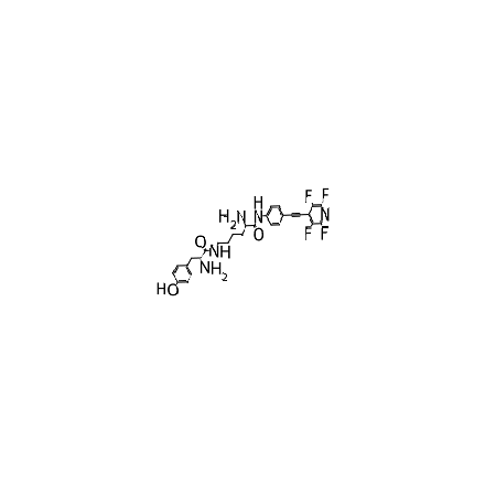 NC(Cc1ccc(O)cc1)C(=O)NCCCCC(N)C(=O)Nc1ccc(C#Cc2c(F)c(F)nc(F)c2F)cc1